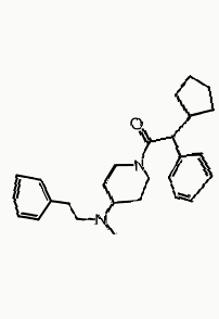 CN(CCc1ccccc1)C1CCN(C(=O)C(c2ccccc2)C2CCCC2)CC1